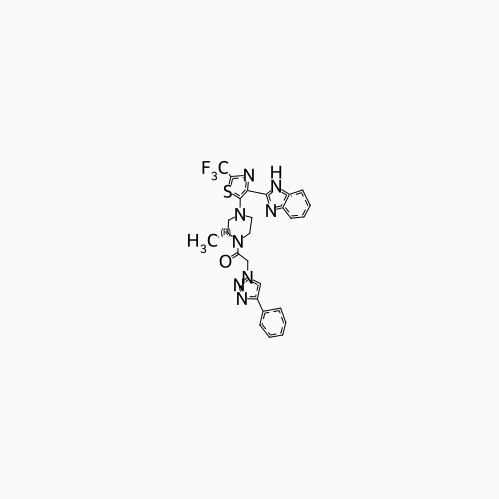 C[C@@H]1CN(c2sc(C(F)(F)F)nc2-c2nc3ccccc3[nH]2)CCN1C(=O)Cn1cc(-c2ccccc2)nn1